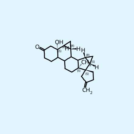 C=C1CC[C@]2(C1)[C@H]1C[C@H]1C1C3C(CC[C@@]12C)C1CCC(=O)C[C@@]1(O)[C@@H]1C[C@H]31